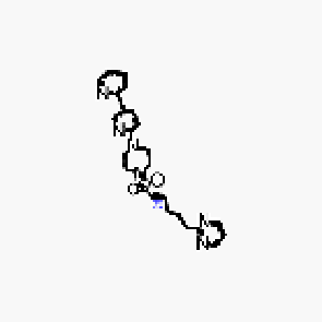 O=S(=O)(/C=C/CCCc1ncccn1)N1CCN(c2ccc(-c3ccccn3)cn2)CC1